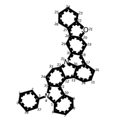 c1ccc(-n2c3ccccc3c3c4c5cccc6c7cc8oc9ccccc9c8cc7n(c4ccc32)c65)cc1